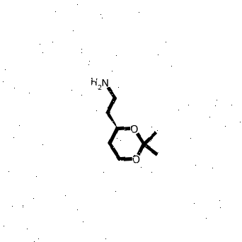 CC1(C)OCC[C@@H](CCN)O1